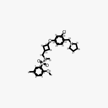 COc1ccc(C)cc1S(=O)(=O)N(C)CC1CC(Oc2ccc(CN3CCCC3)c(Cl)c2)C1